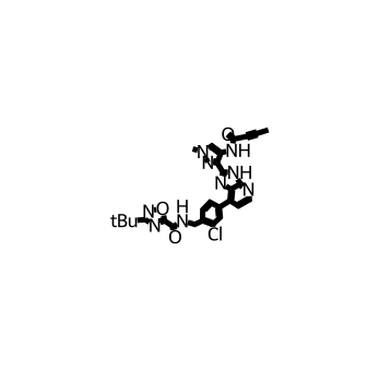 CC#CC(=O)Nc1cn(C)nc1-c1nc2c(-c3ccc(CNC(=O)c4nc(C(C)(C)C)no4)c(Cl)c3)ccnc2[nH]1